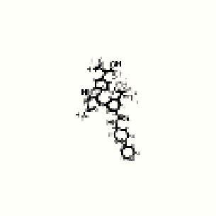 COc1cc2c(cc1/C(C(C)=N)=C(\C)O)[nH]c1nc(C)nc(-c3cc(C(=O)NC4CCN(C5CCOCC5)CC4)cc(C(C)(C)C)c3)c12